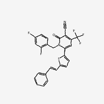 N#Cc1c(C(F)(F)F)cc(-c2ccc(C=Cc3ccccc3)s2)n(Cc2ccc(F)cc2F)c1=O